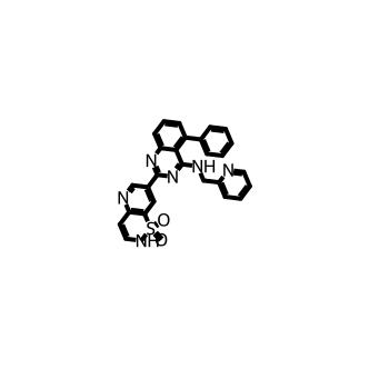 O=S1(=O)NC=Cc2ncc(-c3nc(NCc4ccccn4)c4c(-c5ccccc5)cccc4n3)cc21